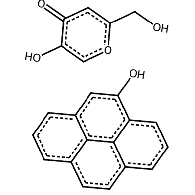 O=c1cc(CO)occ1O.Oc1cc2cccc3ccc4cccc1c4c32